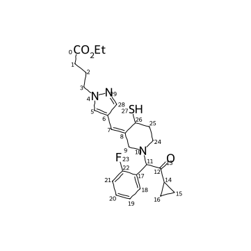 CCOC(=O)CCCn1cc(/C=C2/CN(C(C(=O)C3CC3)c3ccccc3F)CCC2S)cn1